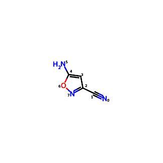 N#Cc1cc(N)on1